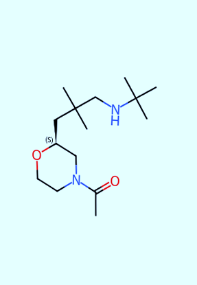 CC(=O)N1CCO[C@@H](CC(C)(C)CNC(C)(C)C)C1